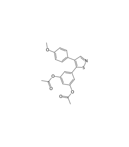 COc1ccc(-c2cnsc2-c2cc(OC(C)=O)cc(OC(C)=O)c2)cc1